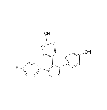 Oc1ccc(-c2noc(-c3ccc(F)cc3)c2-c2ccc(O)cc2)cc1